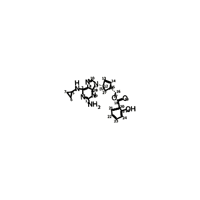 Nc1nc(NC2CC2)c2ncn([C@@H]3C=C[C@H](COC(=O)c4ccccc4O)C3)c2n1